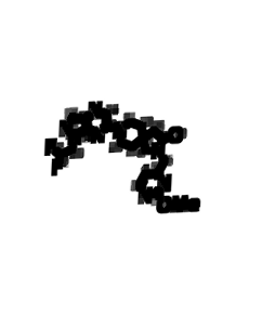 COc1nccc(CN2CC3(CCN(c4cnc5cnn(CC(F)F)c5n4)CC3)CC2=O)n1